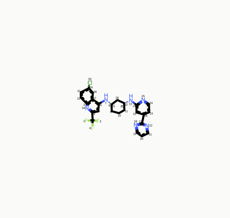 FC(F)(F)c1cc(N[C@H]2CCC[C@@H](Nc3cc(-c4ncccn4)ccn3)C2)c2cc(Cl)ccc2n1